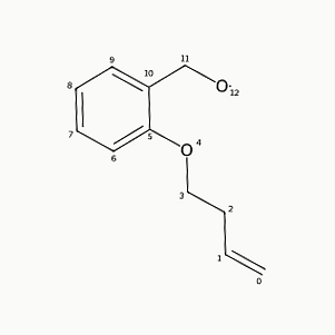 C=CCCOc1ccccc1C[O]